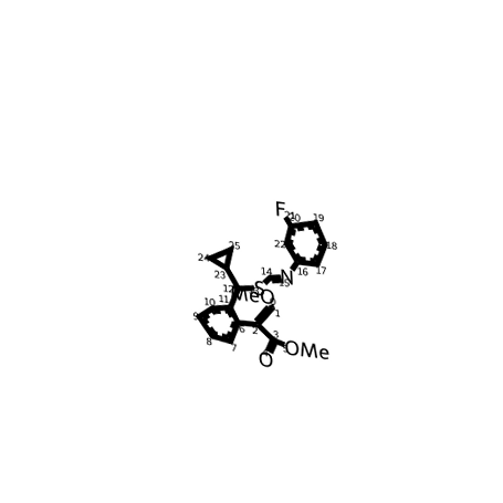 CO/C=C(/C(=O)OC)c1ccccc1C(S/C=N/c1cccc(F)c1)C1CC1